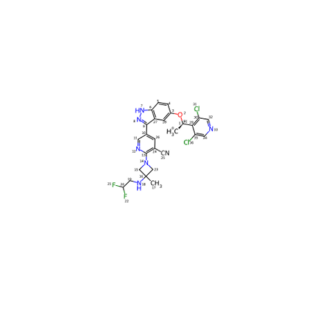 C[C@@H](Oc1ccc2[nH]nc(-c3cnc(N4CC(C)(NCC(F)F)C4)c(C#N)c3)c2c1)c1c(Cl)cncc1Cl